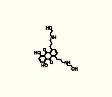 O=C1c2c(O)ccc(O)c2C(=O)c2c(CCCNCCO)ccc(CCCNCCO)c21